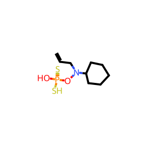 C=CCN(OP(O)(=S)S)C1CCCCC1